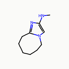 CNc1cn2c(n1)CCCCCC2